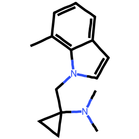 Cc1cccc2ccn(CC3(N(C)C)CC3)c12